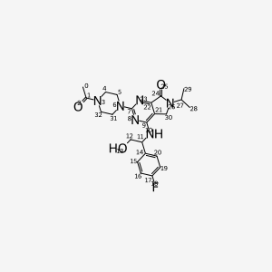 CC(=O)N1CCN(c2nc(NC(CO)c3ccc(F)cc3)c3c(n2)C(=O)N(C(C)C)C3)CC1